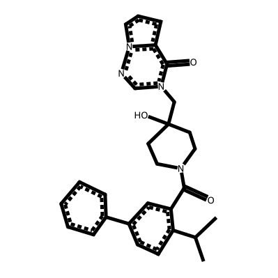 CC(C)c1ccc(-c2ccccc2)cc1C(=O)N1CCC(O)(Cn2cnn3cccc3c2=O)CC1